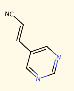 N#CC=Cc1cncnc1